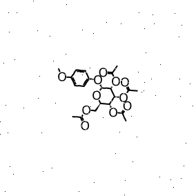 COc1ccc(O[C@@H]2O[C@H](COC(C)=O)[C@H](OC(C)=O)[C@H](OC(C)=O)[C@H]2OC(C)=O)cc1